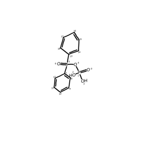 O=P(O)(O)OI(=O)(c1ccccc1)c1ccccc1